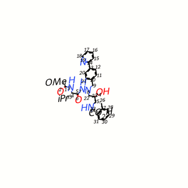 COC(=O)N[C@H](C(=O)NN(Cc1ccc(-c2ccccn2)cc1)C[C@H](O)[C@H](Cc1ccccc1)NC(=O)O)C(C)C